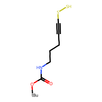 CC(C)(C)OC(=O)NCCCC#CSS